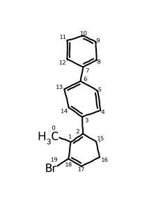 CC1=C(c2ccc(-c3ccccc3)cc2)[CH]CC=C1Br